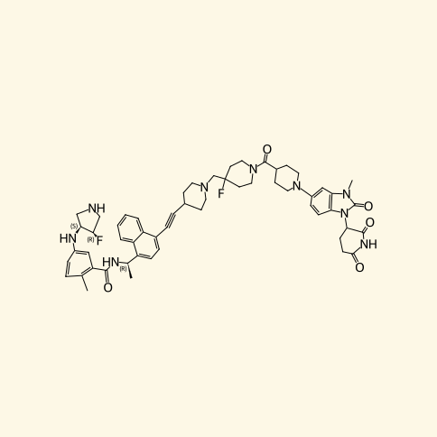 Cc1ccc(N[C@H]2CNC[C@H]2F)cc1C(=O)N[C@H](C)c1ccc(C#CC2CCN(CC3(F)CCN(C(=O)C4CCN(c5ccc6c(c5)n(C)c(=O)n6C5CCC(=O)NC5=O)CC4)CC3)CC2)c2ccccc12